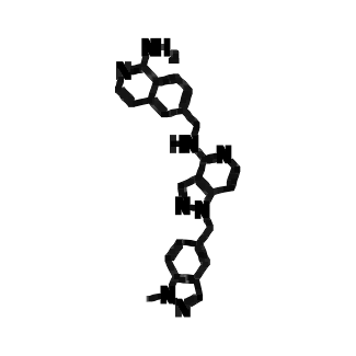 Cn1ncc2cc(Cn3ncc4c(NCc5ccc6c(N)nccc6c5)nccc43)ccc21